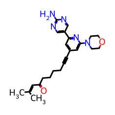 CC(C)=CC(=O)CCCCC#Cc1cc(-c2cnc(N)nc2)nc(N2CCOCC2)c1